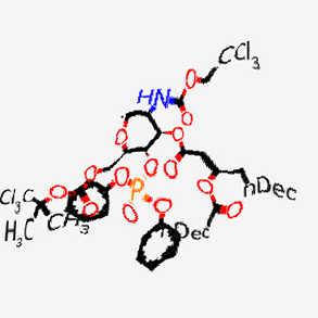 CCCCCCCCCCC[C@H](CC(=O)O[C@H]1[C@H](OP(=O)(Oc2ccccc2)Oc2ccccc2)[C@@H](COC(=O)OC(C)(C)C(Cl)(Cl)Cl)O[CH][C@H]1NC(=O)OCC(Cl)(Cl)Cl)OC(=O)CCCCCCCCCC